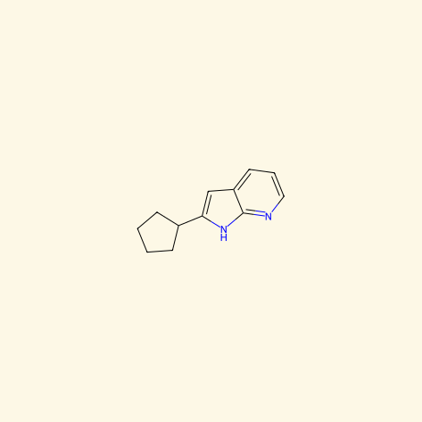 c1cnc2[nH]c(C3CCCC3)cc2c1